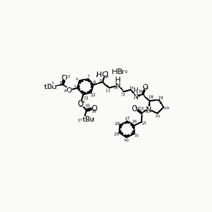 Br.CC(C)(C)C(=O)Oc1ccc(C(O)CNCCNC(=O)C2CCCN2C(=O)Cc2ccccc2)cc1OC(=O)C(C)(C)C